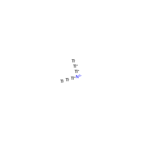 [N-3].[Tl+].[Tl+].[Tl+].[Tl].[Tl].[Tl]